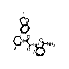 C[C@H]1CC[C@H](c2ccc3c(c2)C[C@H](C)O3)N(C(=O)C(=O)Nc2ncccc2C(N)=O)C1